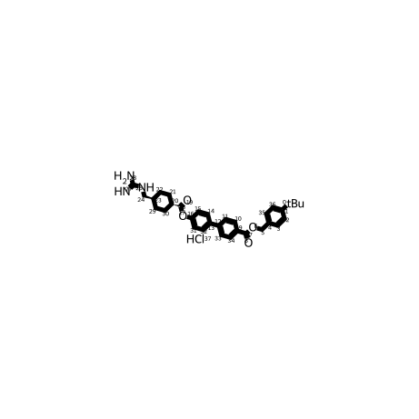 CC(C)(C)c1ccc(COC(=O)c2ccc(-c3ccc(OC(=O)[C@H]4CC[C@H](CNC(=N)N)CC4)cc3)cc2)cc1.Cl